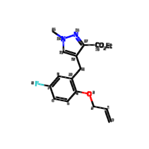 C=CCOc1ccc(F)cc1Cc1cn(C)nc1C(=O)OCC